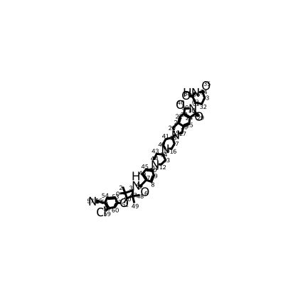 CC1(C)[C@H](NC(=O)c2ccc(N3CCC(N4CCC(N5Cc6cc7c(cc6C5)C(=O)N([C@H]5CCC(=O)NC5=O)C7=O)CC4)CC3)cc2)C(C)(C)[C@H]1Oc1ccc(C#N)c(Cl)c1